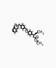 CC#CC(CC(=O)OCC)c1ccc(OCc2ccc(CN3CCc4ccccc4C3)cc2)cc1